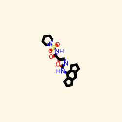 O=C(NS(=O)(=O)N1CCCCC1)c1cnc(Nc2c3c(cc4c2CCC4)CCC3)o1